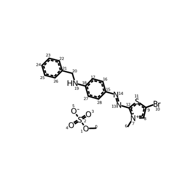 COS(=O)(=O)[O-].C[n+]1cc(Br)sc1N=Nc1ccc(NCc2ccccc2)cc1